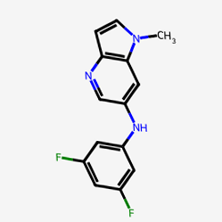 Cn1ccc2ncc(Nc3cc(F)cc(F)c3)cc21